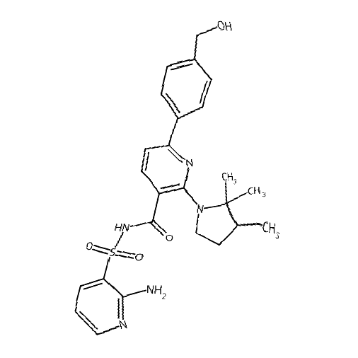 CC1CCN(c2nc(-c3ccc(CO)cc3)ccc2C(=O)NS(=O)(=O)c2cccnc2N)C1(C)C